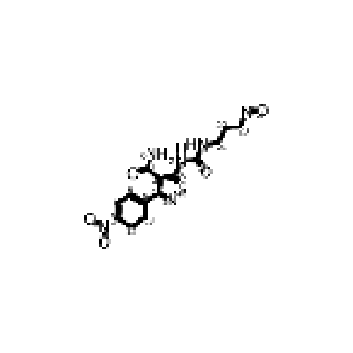 NC(=O)c1c(C2=CC=C([N+](=O)[O-])CC2)nsc1NC(=O)NCCCN=O